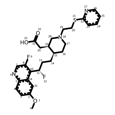 COc1ccc2ncc(F)c([C@@H](F)CC[C@@H]3CCN(CCSc4ccccn4)C[C@@H]3CC(=O)O)c2c1